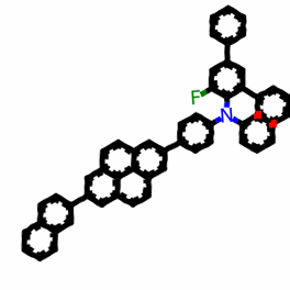 Fc1cc(-c2ccccc2)cc(-c2ccccc2)c1N(c1ccccc1)c1ccc(-c2cc3ccc4cc(-c5ccc6ccccc6c5)cc5ccc(c2)c3c45)cc1